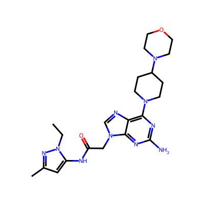 CCn1nc(C)cc1NC(=O)Cn1cnc2c(N3CCC(N4CCOCC4)CC3)nc(N)nc21